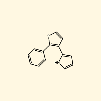 c1ccc(-c2sccc2-c2ccc[nH]2)cc1